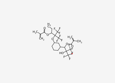 C=C(C)C(=O)OC(C1CCCC(OC(C(CC)OC(=O)C(=C)C)(C(F)(F)F)C(F)(F)F)C1)C(O)(C(F)(F)F)C(F)(F)F